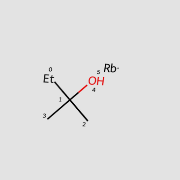 CCC(C)(C)O.[Rb]